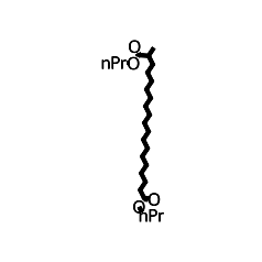 CCCOC(=O)CCCCCCCCCCCCCCCCC(C)C(=O)OCCC